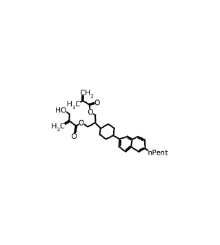 C=C(C)C(=O)OCC(COC(=O)C(=C)CO)C1CCC(c2ccc3cc(CCCCC)ccc3c2)CC1